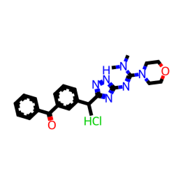 CC(c1cccc(C(=O)c2ccccc2)c1)c1n[nH]c(/N=C(\N(C)C)N2CCOCC2)n1.Cl